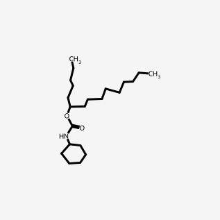 CCCCCCCCCC(CCCCC)OC(=O)NC1CCCCC1